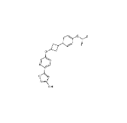 Oc1cc(-c2cnc(OC3CC(c4ccc(OC(F)F)cc4)C3)cn2)on1